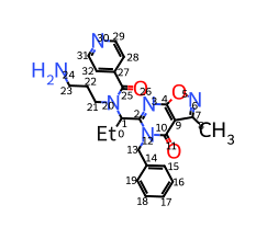 CCC(c1nc2onc(C)c2c(=O)n1Cc1ccccc1)N(CCCN)C(=O)c1ccncc1